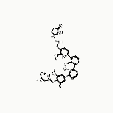 COc1cc(-c2nccc(-c3cccc(-c4ccc(CNC[C@@H]5CCC(=O)N5)c(OC)n4)c3Cl)c2Cl)cc(C)c1CNC[C@H](C)O